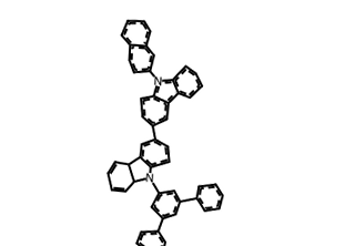 C1=CC2c3cc(-c4ccc5c(c4)c4ccccc4n5-c4ccc5ccccc5c4)ccc3N(c3cc(-c4ccccc4)cc(-c4ccccc4)c3)C2C=C1